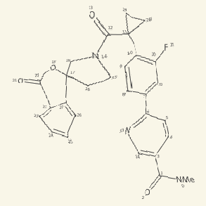 CNC(=O)c1ccc(-c2ccc(C3(C(=O)N4CCC5(C4)OC(=O)c4ccccc45)CC3)c(F)c2)nc1